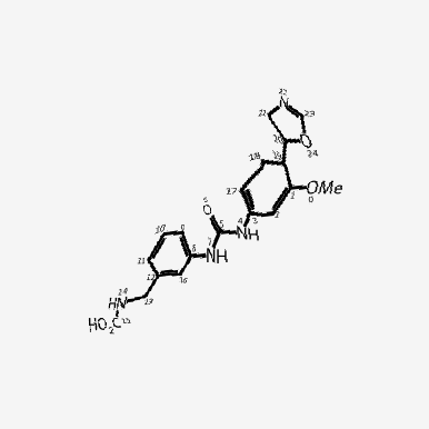 COC1=CC(NC(=O)Nc2cccc(CNC(=O)O)c2)=CCC1C1CN=CO1